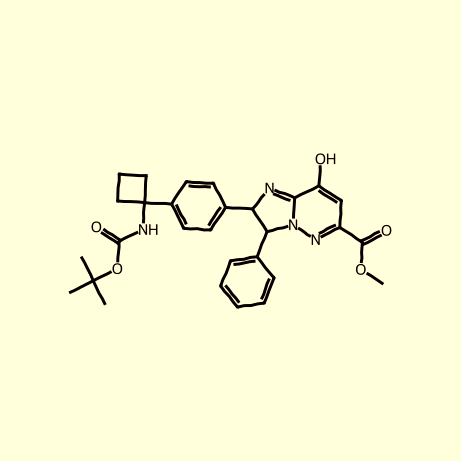 COC(=O)C1=NN2C(=NC(c3ccc(C4(NC(=O)OC(C)(C)C)CCC4)cc3)C2c2ccccc2)C(O)=C1